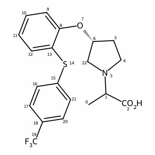 CC(C(=O)O)N1CC[C@@H](Oc2ccccc2Sc2ccc(C(F)(F)F)cc2)C1